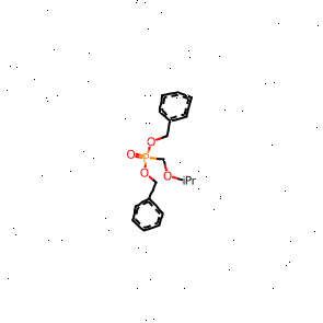 CC(C)OCP(=O)(OCc1ccccc1)OCc1ccccc1